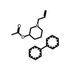 C=CCN1CCCC(OC(C)=O)C1.c1ccc(-c2ccccc2)cc1